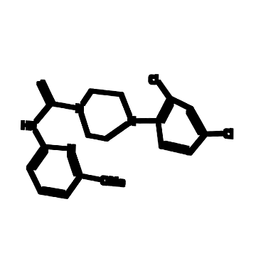 C=C(Nc1cccc(OC)n1)N1CCN(c2ccc(Cl)cc2Cl)CC1